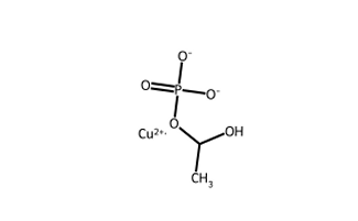 CC(O)OP(=O)([O-])[O-].[Cu+2]